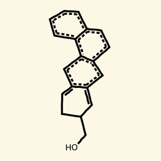 OCC1C=c2cc3ccc4ccccc4c3cc2=CC1